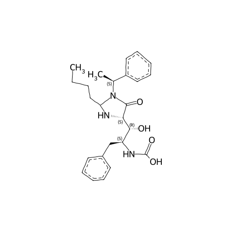 CCCCC1N[C@@H]([C@H](O)[C@H](Cc2ccccc2)NC(=O)O)C(=O)N1[C@@H](C)c1ccccc1